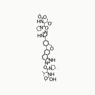 COC(=O)N[C@H](C(=O)N1[C@@H](C)CC[C@H]1c1ncc(-c2ccc3c(c2)COc2cc4c(ccc5nc([C@@H]6C[C@H](C)CN6C(=O)[C@@H](NC(O)OC)C(C)C)[nH]c54)cc2-3)[nH]1)[C@@H](C)OC